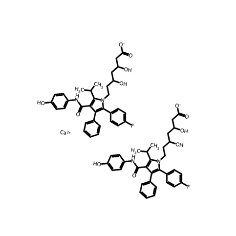 CC(C)c1c(C(=O)Nc2ccc(O)cc2)c(-c2ccccc2)c(-c2ccc(F)cc2)n1CCC(O)CC(O)CC(=O)[O-].CC(C)c1c(C(=O)Nc2ccc(O)cc2)c(-c2ccccc2)c(-c2ccc(F)cc2)n1CCC(O)CC(O)CC(=O)[O-].[Ca+2]